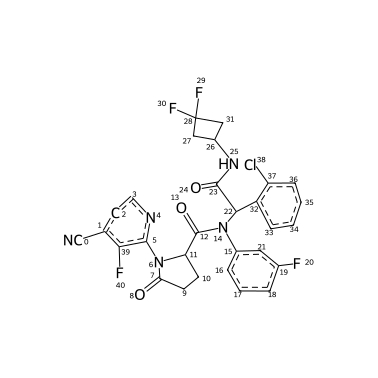 N#Cc1ccnc(N2C(=O)CCC2C(=O)N(c2cccc(F)c2)C(C(=O)NC2CC(F)(F)C2)c2ccccc2Cl)c1F